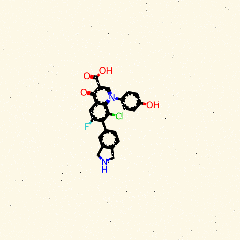 O=C(O)c1cn(-c2ccc(O)cc2)c2c(Cl)c(-c3ccc4c(c3)CNC4)c(F)cc2c1=O